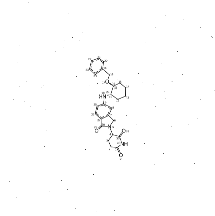 O=C1CCC(N2Cc3cc(N[C@H]4CCCC[C@@H]4OCc4ccccc4)ccc3C2=O)C(=O)N1